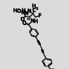 CC(N)(CF)[C@H](NC(=O)c1ccc(C#CC#Cc2ccc(N)cc2)cc1)C(=O)NO